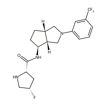 O=C(N[C@H]1CC[C@@H]2CN(c3cccc(C(F)(F)F)c3)C[C@@H]21)[C@@H]1C[C@H](F)CN1